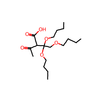 CCCCOCC(OCCCC)(OCCCC)C(C(C)=O)C(=O)O